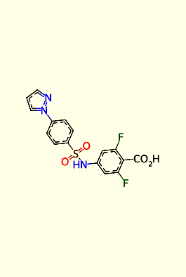 O=C(O)c1c(F)cc(NS(=O)(=O)c2ccc(-n3cccn3)cc2)cc1F